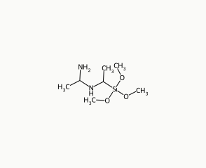 CO[Si](OC)(OC)C(C)NC(C)N